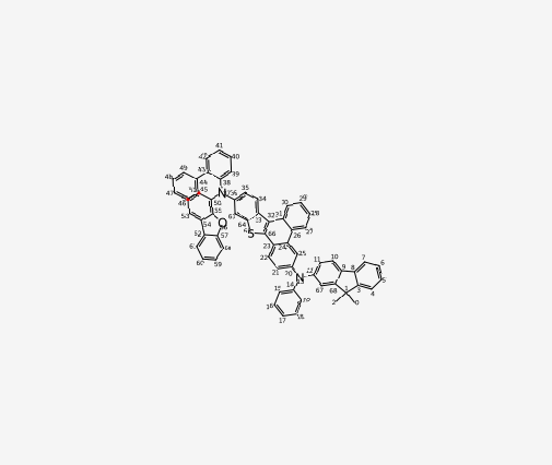 CC1(C)c2ccccc2-c2ccc(N(c3ccccc3)c3ccc4c(c3)c3ccccc3c3c5ccc(N(c6ccccc6-c6ccccc6)c6cccc7c6oc6ccccc67)cc5sc43)cc21